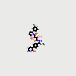 CC(NC(=O)[C@H](O)[C@@H](O)C(=O)N1CCC[C@@H]1c1cccc(Cl)c1)c1ccc(C2C=CC=NC2=O)cc1